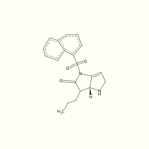 CCCC1C(=O)N(S(=O)(=O)c2cccc3ccccc23)C2=CCN[C@@H]21